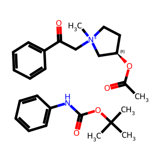 CC(=O)O[C@@H]1CC[N+](C)(CC(=O)c2ccccc2)C1.CC(C)(C)OC(=O)Nc1ccccc1